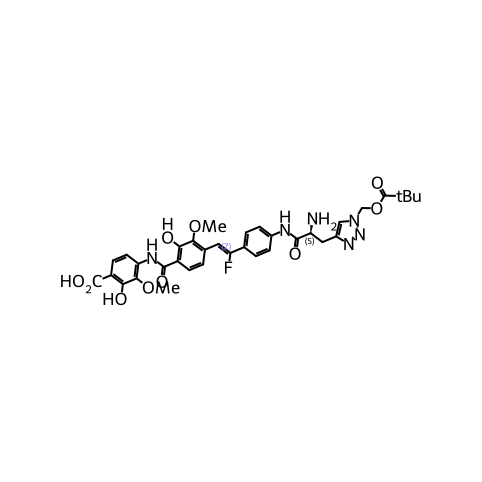 COc1c(/C=C(\F)c2ccc(NC(=O)[C@@H](N)Cc3cn(COC(=O)C(C)(C)C)nn3)cc2)ccc(C(=O)Nc2ccc(C(=O)O)c(O)c2OC)c1O